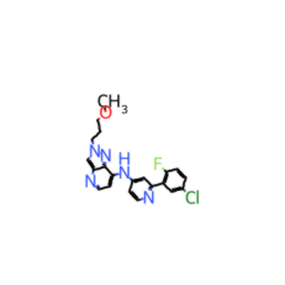 COCCCn1cc2nccc(Nc3ccnc(-c4cc(Cl)ccc4F)c3)c2n1